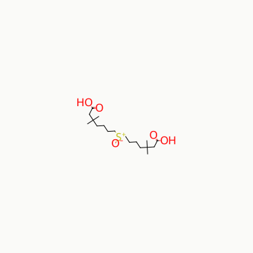 CC(C)(CCCC[S+]([O-])CCCCC(C)(C)CC(=O)O)CC(=O)O